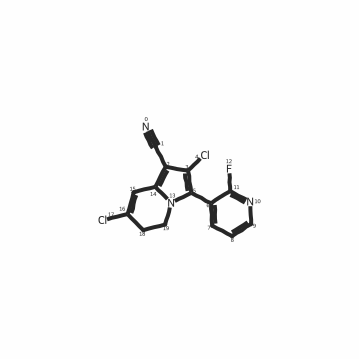 N#Cc1c(Cl)c(-c2cccnc2F)n2c1C=C(Cl)CC2